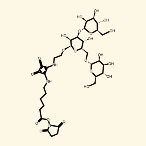 O=C(CCCCCNc1c(NCCO[C@@H]2O[C@H](CO[C@H]3O[C@H](CO)[C@@H](O)[C@H](O)[C@@H]3O)[C@@H](O)[C@H](O[C@H]3O[C@H](CO)[C@@H](O)[C@H](O)[C@@H]3O)[C@@H]2O)c(=O)c1=O)ON1C(=O)CCC1=O